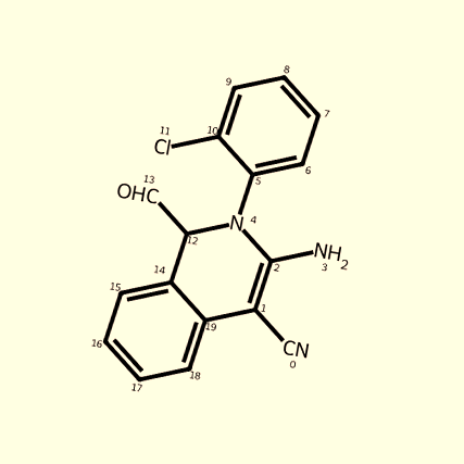 N#CC1=C(N)N(c2ccccc2Cl)C(C=O)c2ccccc21